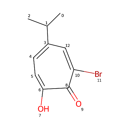 CC(C)c1ccc(O)c(=O)c(Br)c1